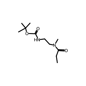 CCC(=O)N(C)CCNC(=O)OC(C)(C)C